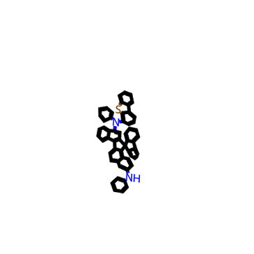 c1ccc(Nc2ccc3c4c(ccc3c2)-c2c(cc(N(c3ccccc3)c3cccc5c3sc3ccccc35)c3ccccc23)C42c3ccccc3-c3ccccc32)cc1